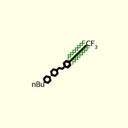 CCCC[C@H]1CC[C@H](C2CCC(CCc3ccc(C(F)(F)C(F)(F)C(F)(F)C(F)(F)C(F)(F)C(F)(F)C(F)(F)C(F)(F)F)cc3)CC2)CC1